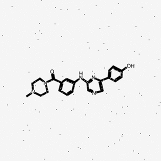 CN1CCN(C(=O)c2cccc(Nc3cncc(-c4ccc(O)cc4)n3)c2)CC1